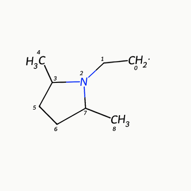 [CH2]CN1C(C)CCC1C